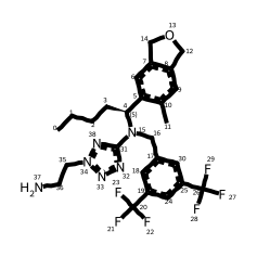 CCCC[C@@H](c1cc2c(cc1C)COC2)N(Cc1cc(C(F)(F)F)cc(C(F)(F)F)c1)c1nnn(CCN)n1